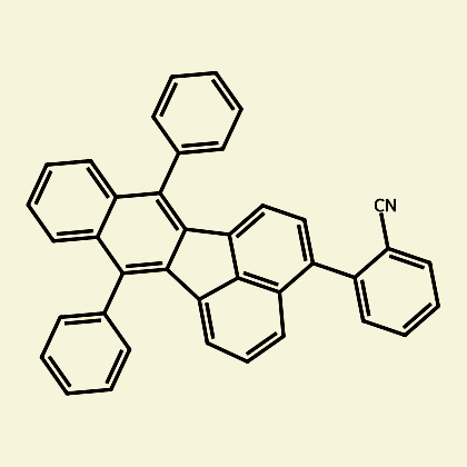 N#Cc1ccccc1-c1ccc2c3c(cccc13)-c1c-2c(-c2ccccc2)c2ccccc2c1-c1ccccc1